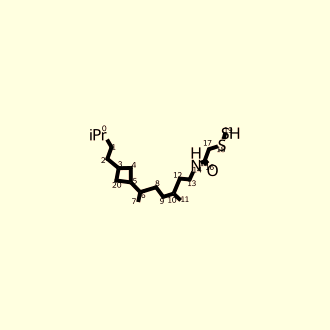 CC(C)CCC1CC(C(C)CCC(C)CCNC(=O)CSS)C1